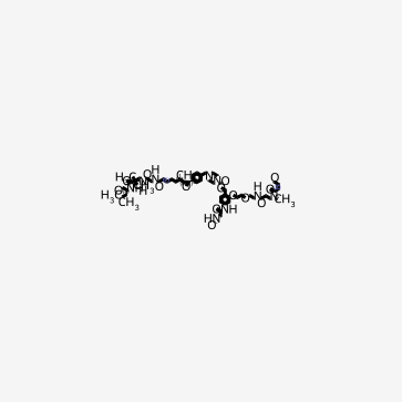 CC(C)C[C@@H](C=O)NC(=O)C(C)(C)CNC(=O)CNC(=O)/C=C/CC[C@H](C)[C@H]1O[C@@H]1c1ccc(CN2CCN(C(=O)OCc3ccc(NC(=O)CNC=O)cc3OCCOCCNC(=O)CCN(C)C(=O)/C=C\C=O)CC2)cc1